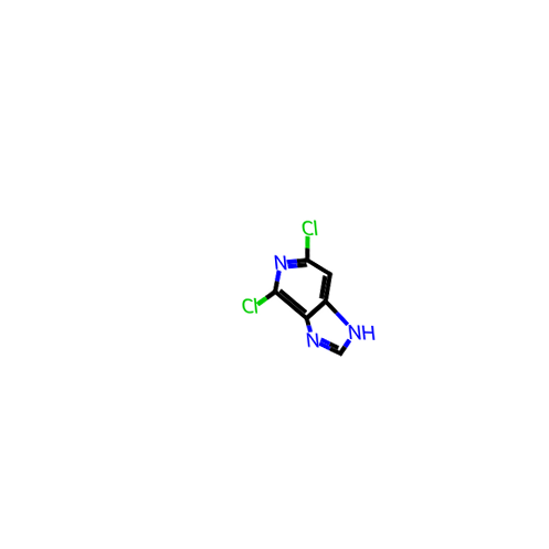 Clc1cc2[nH]cnc2c(Cl)n1